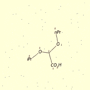 CCCOC(OC(C)C)C(=O)O